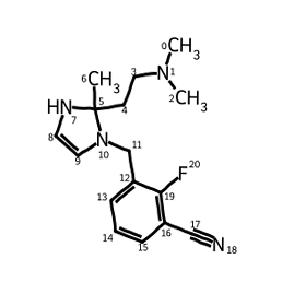 CN(C)CCC1(C)NC=CN1Cc1cccc(C#N)c1F